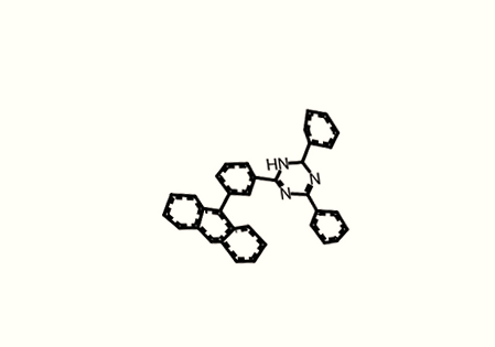 c1ccc(C2=NC(c3ccccc3)NC(c3cccc(-c4c5ccccc5cc5ccccc45)c3)=N2)cc1